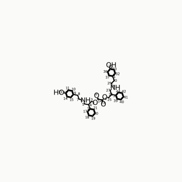 O=C(OCC(CNCCc1ccc(O)cc1)c1ccccc1)C(=O)OCC(CNCCc1ccc(O)cc1)c1ccccc1